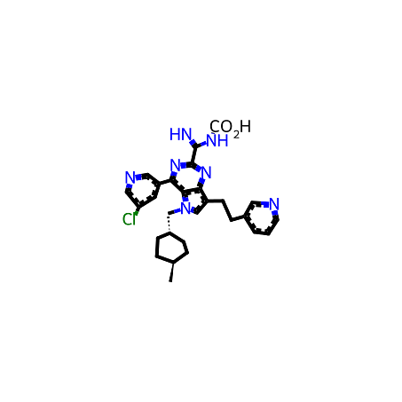 C[C@H]1CC[C@H](Cn2cc(CCc3cccnc3)c3nc(C(=N)NC(=O)O)nc(-c4cncc(Cl)c4)c32)CC1